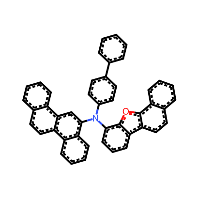 c1ccc(-c2ccc(N(c3cc4c5ccccc5ccc4c4ccccc34)c3cccc4c3oc3c5ccccc5ccc43)cc2)cc1